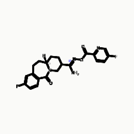 N/C(=N\OC(=O)c1ccc(F)cn1)C1CC[C@H]2CCc3cc(F)ccc3C(=O)N2C1